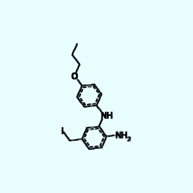 CCCOc1ccc(Nc2cc(CI)ccc2N)cc1